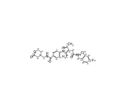 Cc1nn(-c2ccc(C(=O)NCC3CCOC(=O)C3)cc2)c(C)c1CC(=O)NCc1ccc(F)cc1Cl